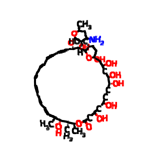 CC1CC(N)C(O)C(O[C@H]2/C=C/C=C/C=C/C=C/C=C/C=C/C=C/[C@H](C)[C@@H](O)[C@@H](C)[C@H](C)OC(=O)C[C@H](O)C[C@H](O)CC[C@@H](O)[C@H](O)C[C@H](O)C[C@]3(O)CC[C@@H](C(=O)O)[C@H](C2)O3)O1